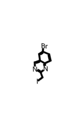 Brc1ccc2nc(CI)ncc2c1